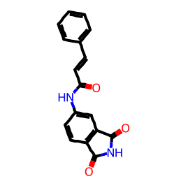 O=C(C=Cc1ccccc1)Nc1ccc2c(c1)C(=O)NC2=O